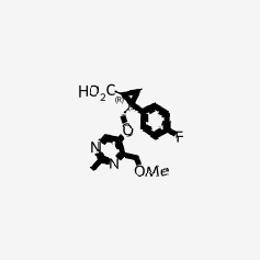 COCc1nc(C)ncc1OC[C@@]1(c2ccc(F)cc2)C[C@H]1C(=O)O